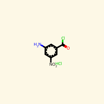 Cl.Nc1cc(C(=O)Cl)cc([N+](=O)[O-])c1